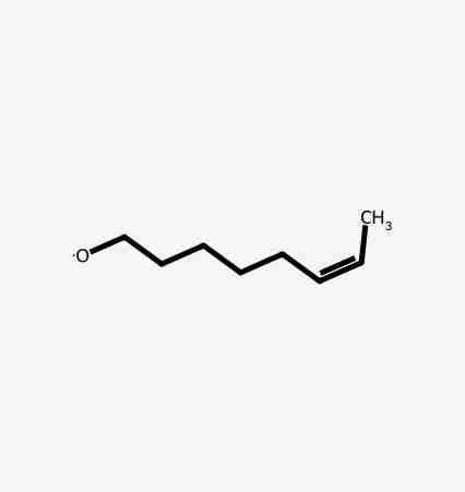 C/C=C\CCCCC[O]